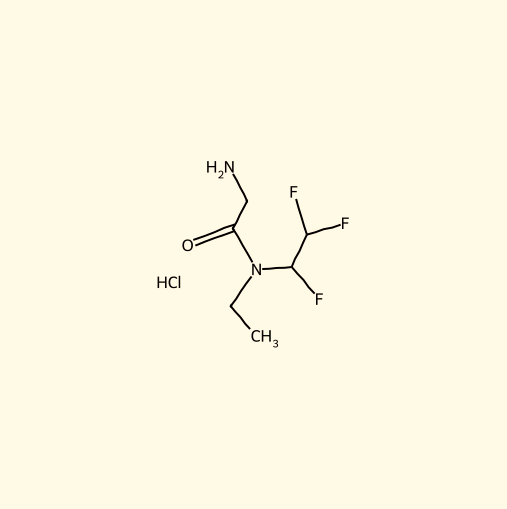 CCN(C(=O)CN)C(F)C(F)F.Cl